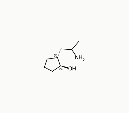 CC(N)C[C@H]1CCC[C@@H]1O